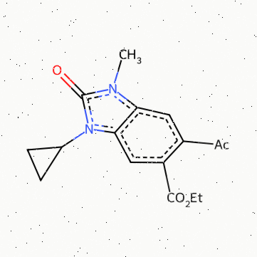 CCOC(=O)c1cc2c(cc1C(C)=O)n(C)c(=O)n2C1CC1